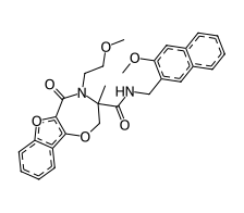 COCCN1C(=O)c2oc3ccccc3c2OCC1(C)C(=O)NCc1cc2ccccc2cc1OC